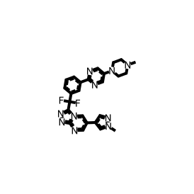 CN1CCN(c2cnc(-c3cccc(C(F)(F)c4nnc5ncc(-c6cnn(C)c6)cn45)c3)nc2)CC1